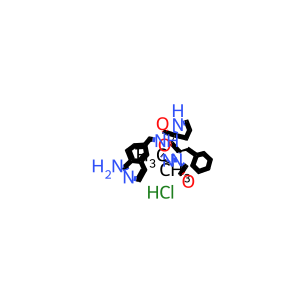 CN(C)N(CC=O)[C@H](CC1CCCCC1)C(=O)[C@@]1(C(=O)NCc2ccc3c(N)nccc3c2)CCCN1.Cl